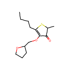 CCCCC1=C(OCC2CCCO2)C(=O)C(C)S1